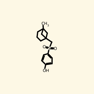 CC12CCCC(CS(=O)(=O)c3ccc(O)cc3)(C1)C2